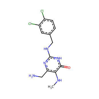 CNc1c(CN)nc(NCc2ccc(Cl)c(Cl)c2)[nH]c1=O